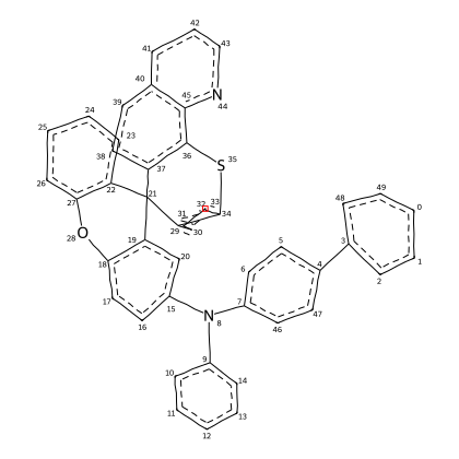 c1ccc(-c2ccc(N(c3ccccc3)c3ccc4c(c3)C3(c5ccccc5O4)c4ccccc4Sc4c3ccc3cccnc43)cc2)cc1